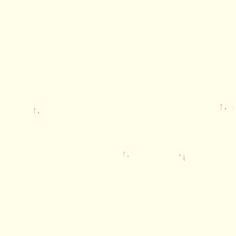 CN(C)CCCN=C=NCCN